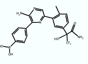 Cc1ccc(C(O)(C(N)=O)C(F)(F)F)cc1-c1cnc(N)c(-c2ccc(B(O)O)cc2)n1